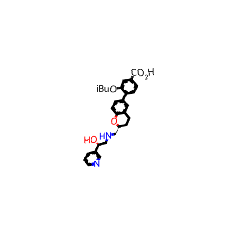 CC(C)COc1cc(C(=O)O)ccc1-c1ccc2c(c1)CC[C@H](CNC[C@H](O)c1cccnc1)O2